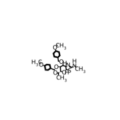 CNC1=N[C@@H]2[C@@H](OCc3ccc(OC)cc3)[C@H](OCc3ccc(OC)cc3)[C@@H](C(C)=O)O[C@@H]2S1